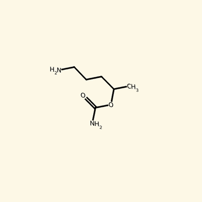 CC(CCCN)OC(N)=O